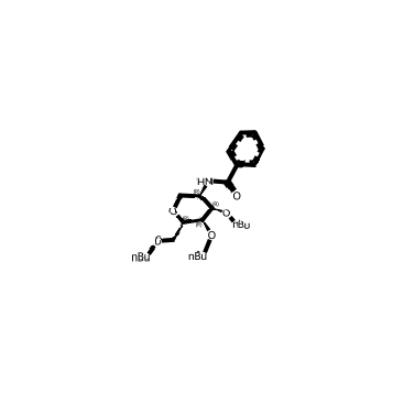 CCCCOC[C@H]1OC[C@@H](NC(=O)c2ccccc2)[C@@H](OCCCC)[C@H]1OCCCC